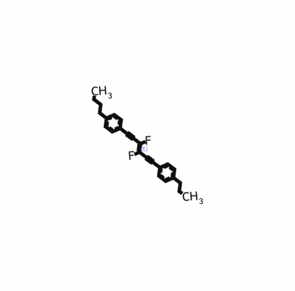 CCCCc1ccc(C#C/C(F)=C(\F)C#Cc2ccc(CCC)cc2)cc1